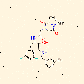 CCCN1C(=O)CN(CC(=O)N[C@@H](Cc2cc(F)cc(F)c2)[C@H](O)CNCc2cccc(CC)c2)C(=O)[C@@H]1C